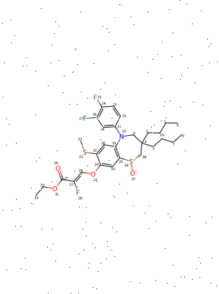 CCCCC1(CCCC)CN(c2ccc(F)c(F)c2)c2cc(SC)c(O/C=C(\F)C(=O)OCC)cc2[S+]([O-])C1